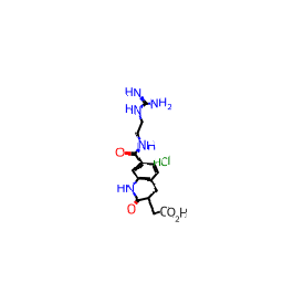 Cl.N=C(N)NCCNC(=O)c1ccc2c(c1)NC(=O)C(CC(=O)O)C2